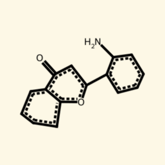 Nc1ccccc1-c1cc(=O)c2ccccc2o1